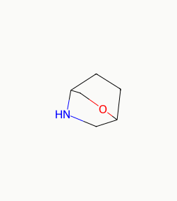 C1CC2CNC1CO2